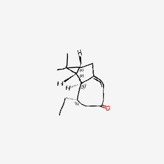 CC[C@H]1CC(=O)C=C2C[C@@H]3[C@H]([C@@H]21)C3(C)C